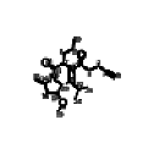 C#CCCC(=O)N[C@H](CCC)C(=O)N1C(=C)C=C(OC)[C@H]1CC(C)C